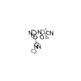 C[C@@H]1CN(c2ccnn3cc(-c4cnn(C5CCCC5)c4)cc23)C(=O)[C@]1(C#N)C1CC1